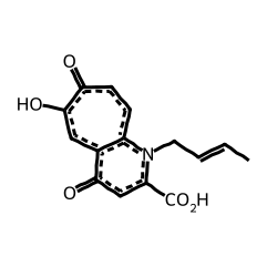 CC=CCn1c(C(=O)O)cc(=O)c2cc(O)c(=O)ccc21